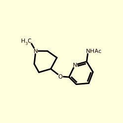 CC(=O)Nc1cccc(OC2CCN(C)CC2)n1